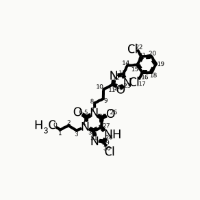 CCCCn1c(=O)n(CCCc2nc(Cc3c(Cl)cccc3Cl)no2)c(=O)c2[nH]c(Cl)nc21